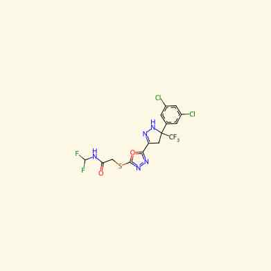 O=C(CSc1nnc(C2=NNC(c3cc(Cl)cc(Cl)c3)(C(F)(F)F)C2)o1)NC(F)F